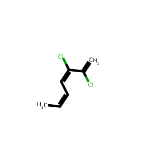 C=C(Cl)/C(Cl)=C\C=C/C